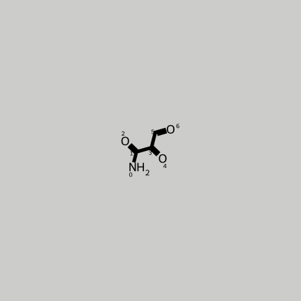 NC(=O)C(=O)C=O